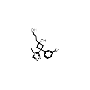 Cn1cnnc1[C@]1(c2cccc(Br)c2)C[C@@](O)(CCCO)C1